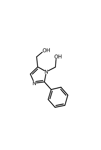 OCc1cnc(-c2ccccc2)n1CO